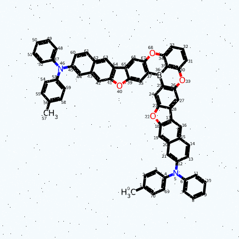 Cc1ccc(N(c2ccccc2)c2ccc3cc4c(cc3c2)oc2cc3c(cc24)Oc2cccc4c2B3c2cc3oc5cc6cc(N(c7ccccc7)c7ccc(C)cc7)ccc6cc5c3cc2O4)cc1